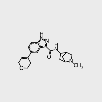 CN1CC2CC1CC2NC(=O)c1n[nH]c2ccc(C3=CCOCC3)cc12